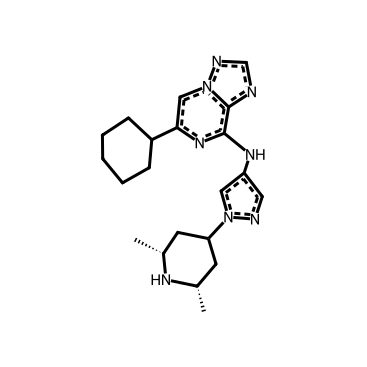 C[C@@H]1CC(n2cc(Nc3nc(C4CCCCC4)cn4ncnc34)cn2)C[C@H](C)N1